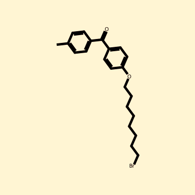 Cc1ccc(C(=O)c2ccc(OCCCCCCCCBr)cc2)cc1